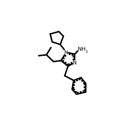 CC(C)Cc1c(Cc2ccccc2)nc(N)n1C1CCCC1